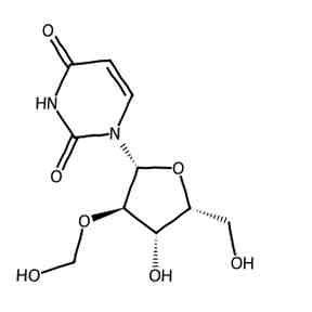 O=c1ccn([C@@H]2O[C@H](CO)[C@H](O)[C@H]2OCO)c(=O)[nH]1